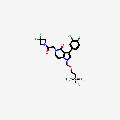 C[Si](C)(C)CCOCn1cc(-c2ccc(F)c(Cl)c2)c2c(=O)n(CC(=O)N3CC(F)(F)C3)ccc21